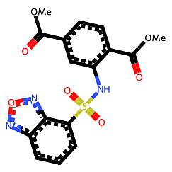 COC(=O)c1ccc(C(=O)OC)c(NS(=O)(=O)c2cccc3nonc23)c1